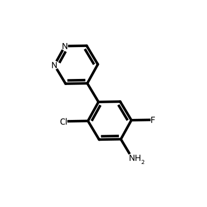 Nc1cc(Cl)c(-c2ccnnc2)cc1F